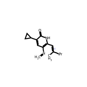 C=Nc1cc(C2CC2)c(=O)[nH]c1/C=C(\C)C(C)C